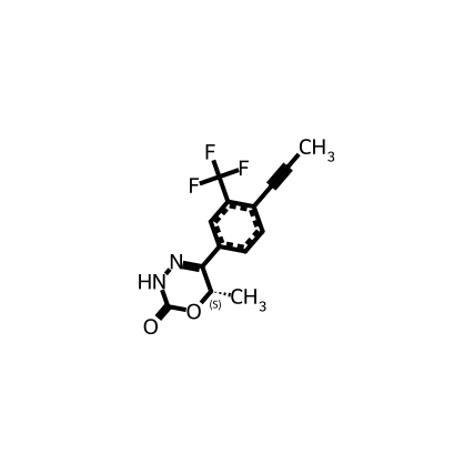 CC#Cc1ccc(C2=NNC(=O)O[C@H]2C)cc1C(F)(F)F